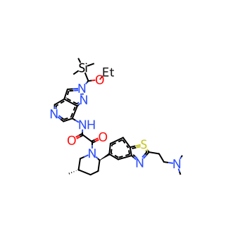 CCOC(n1cc2cncc(NC(=O)C(=O)N3C[C@@H](C)CC[C@@H]3c3ccc4sc(CCN(C)C)nc4c3)c2n1)[Si](C)(C)C